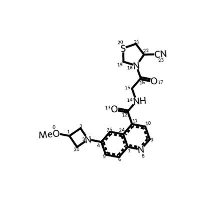 COC1CN(c2ccc3nccc(C(=O)NCC(=O)N4CSCC4C#N)c3c2)C1